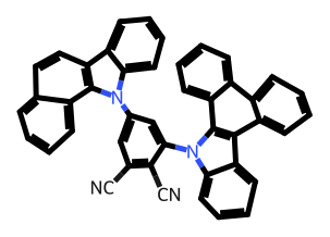 N#Cc1cc(-n2c3ccccc3c3ccc4ccccc4c32)cc(-n2c3ccccc3c3c4ccccc4c4ccccc4c32)c1C#N